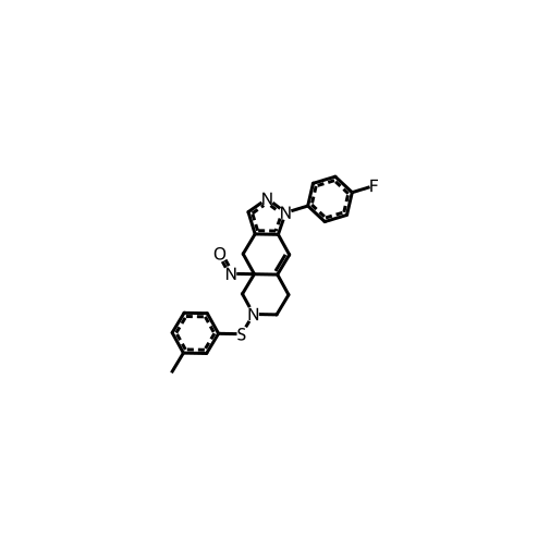 Cc1cccc(SN2CCC3=Cc4c(cnn4-c4ccc(F)cc4)CC3(N=O)C2)c1